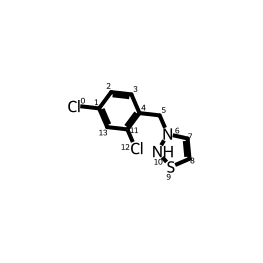 Clc1ccc(CN2C=CSN2)c(Cl)c1